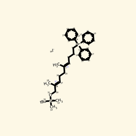 C/C(=C\CCC[P+](c1ccccc1)(c1ccccc1)c1ccccc1)CC/C=C(\C)CO[Si](C)(C)C(C)(C)C.[I-]